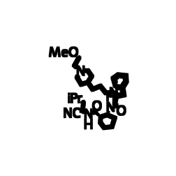 COCCN1CCC(CCCn2c(C(=O)N[C@H]3CCCC[C@H]3C(=O)N[C@H](C#N)CC(C)C)cc3ccccc32)CC1